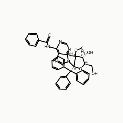 COC1(OC)[C@H](O)[C@@H](CO)O[C@]1(n1cnc2c(NC(=O)c3ccccc3)ncnc21)C(c1ccccc1)(c1ccccc1)c1ccccc1